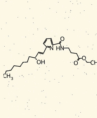 CCCCCCCC[C@H](O)/C=C/c1cccc(C(=O)NCCCC(=O)OCC)n1